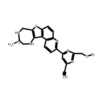 C#Cc1cc(-c2ccc3c(ccc4sc5c(c43)NC[C@@H](C)NC5)n2)nc(COCC)n1